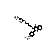 Cc1ccc(C2Oc3ccccc3C(=O)C2OCCCCSc2nnc(N)s2)cc1